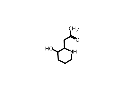 [CH2]C(=O)CC1NCCCC1O